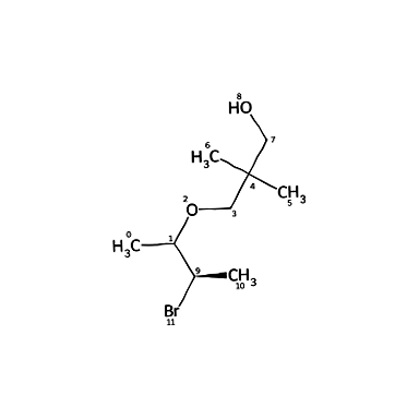 CC(OCC(C)(C)CO)[C@@H](C)Br